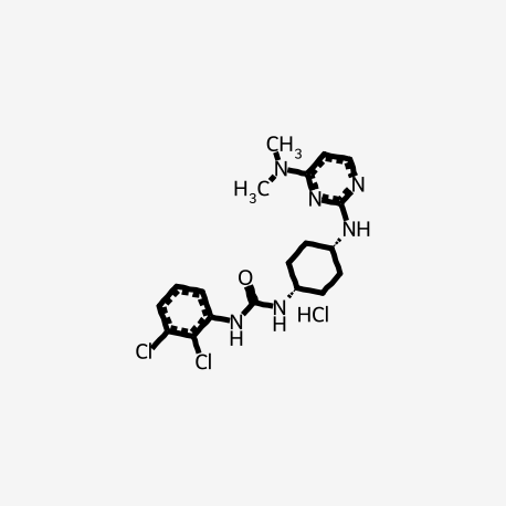 CN(C)c1ccnc(N[C@H]2CC[C@@H](NC(=O)Nc3cccc(Cl)c3Cl)CC2)n1.Cl